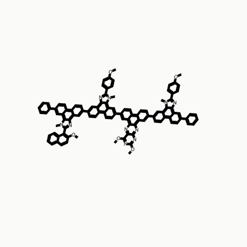 COc1ccc(-c2nc3c4cc(-c5ccccc5)ccc4c4ccc(-c5ccc6c7ccc(-c8ccc9c%10ccc(-c%11ccc%12c%13ccc(-c%14ccccc%14)cc%13c%13c(nc(-c%14c(OC)ccc%15ccccc%14%15)n%13C)c%12c%11)cc%10c%10nc(-c%11ccc(OC)cc%11)n(C)c%10c9c8)cc7c7nc8c(OC)nc(OC)nc8nc7c6c5)cc4c3n2C)cc1